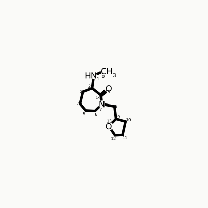 CNC1CCCCN(CC2CCCO2)C1=O